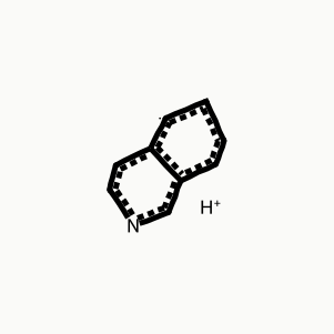 [H+].[c]1cccc2cnccc12